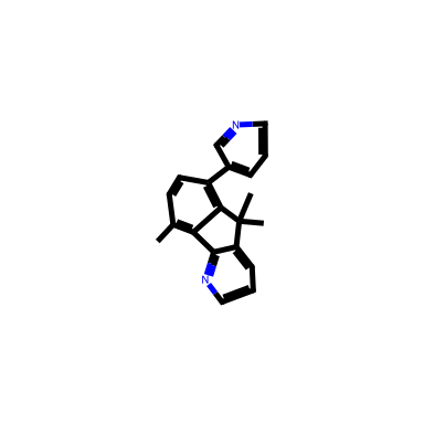 Cc1ccc(-c2cccnc2)c2c1-c1ncccc1C2(C)C